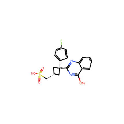 O=S(=O)(O)C[C@H]1C[C@](c2ccc(F)cc2)(c2nc(O)c3ccccc3n2)C1